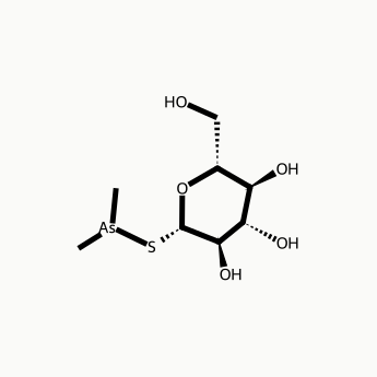 C[As](C)S[C@@H]1O[C@H](CO)[C@@H](O)[C@H](O)[C@H]1O